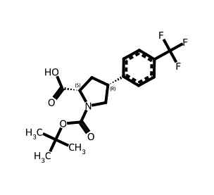 CC(C)(C)OC(=O)N1C[C@@H](c2ccc(C(F)(F)F)cc2)C[C@H]1C(=O)O